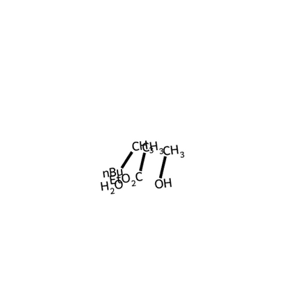 CCCCC.CCOC(C)=O.CO.O